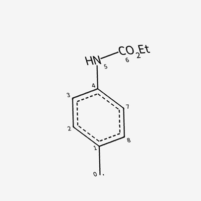 [CH2]c1ccc(NC(=O)OCC)cc1